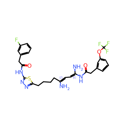 N/C(=C\C=C(/N)NC(=O)Cc1cccc(OC(F)(F)F)c1)CCCCc1nnc(NC(=O)Cc2cccc(F)c2)s1